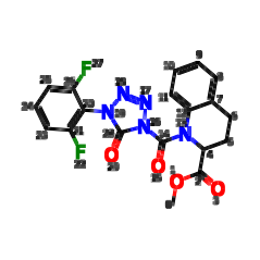 COC(=O)C1CCc2ccccc2N1C(=O)n1nnn(-c2c(F)cccc2F)c1=O